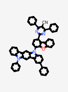 N#Cc1c(-c2ccccc2)nc(-c2ccc(-n3c4ccc(-c5ccccc5)cc4c4cc5c(cc43)c3ccccc3n5-c3ccccc3)c3oc4ccccc4c23)nc1-c1ccccc1